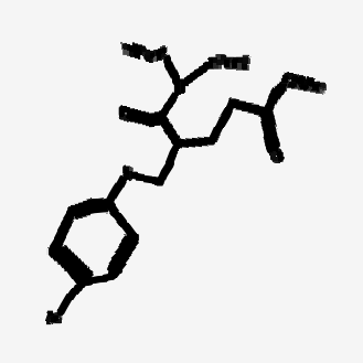 CCCCCN(CCCCC)C(=O)C(CCC(=O)OC)CSc1ccc(C(C)=O)cc1